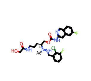 CC(=O)N(NCc1cccc(F)c1Cl)[C@@H](CCCNC(=O)CO)COC(=O)Nc1cc2cc(F)ccc2cn1